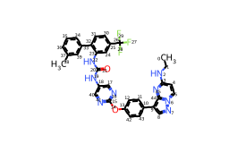 CCNc1ccn2ncc(-c3ccc(Oc4ncc(NC(=O)Nc5cc(C(F)(F)F)ccc5-c5cccc(C)c5)cn4)cc3)c2n1